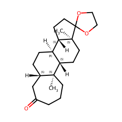 C[C@]12CCCC(=O)C[C@@H]1CC[C@@H]1[C@@H]2CC[C@@]2(C)[C@H]1CCC21OCCO1